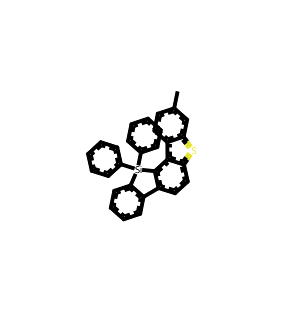 Cc1ccc2c(c1)sc1ccc3c(c12)[Si](c1ccccc1)(c1ccccc1)c1ccccc1-3